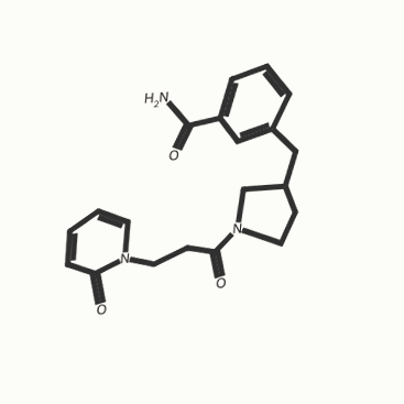 NC(=O)c1cccc(CC2CCN(C(=O)CCn3ccccc3=O)C2)c1